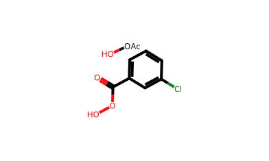 CC(=O)OO.O=C(OO)c1cccc(Cl)c1